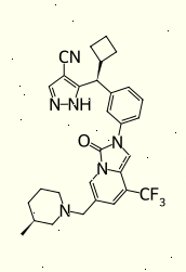 C[C@H]1CCCN(Cc2cc(C(F)(F)F)c3cn(-c4cccc([C@@H](c5[nH]ncc5C#N)C5CCC5)c4)c(=O)n3c2)C1